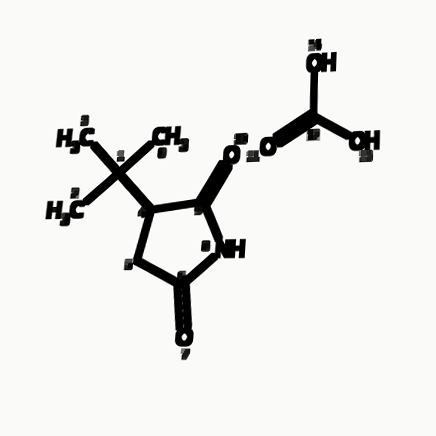 CC(C)(C)C1CC(=O)NC1=O.O=C(O)O